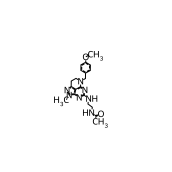 COc1ccc(CN2CCc3nn(C)c4nc(NCCNC(C)=O)nc2c34)cc1